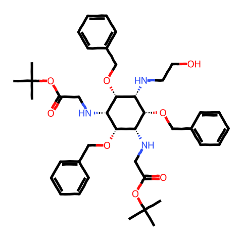 CC(C)(C)OC(=O)CN[C@@H]1[C@H](OCc2ccccc2)[C@H](NCC(=O)OC(C)(C)C)[C@H](OCc2ccccc2)[C@H](NCCO)[C@@H]1OCc1ccccc1